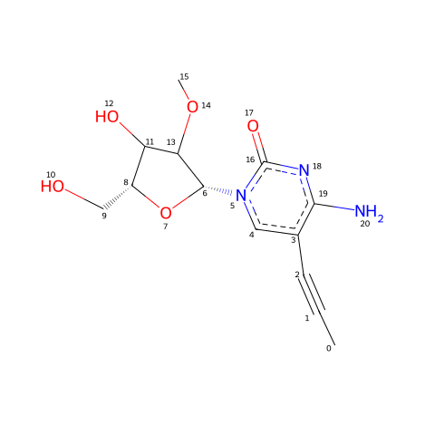 CC#Cc1cn([C@@H]2O[C@H](CO)C(O)C2OC)c(=O)nc1N